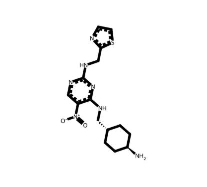 N[C@H]1CC[C@H](CNc2nc(NCc3nccs3)ncc2[N+](=O)[O-])CC1